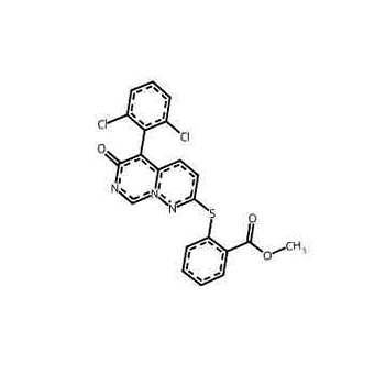 COC(=O)c1ccccc1Sc1ccc2c(-c3c(Cl)cccc3Cl)c(=O)ncn2n1